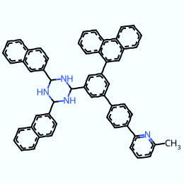 Cc1cccc(-c2ccc(-c3cc(-c4cc5ccccc5c5ccccc45)cc(C4NC(c5ccc6ccccc6c5)NC(c5ccc6ccccc6c5)N4)c3)cc2)n1